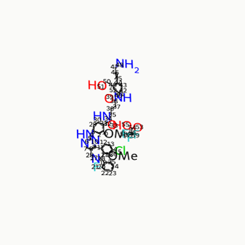 COc1cc(Nc2ncc3c(n2)-c2ccc(Cl)cc2C(c2c(F)cccc2OC)=NC3)ccc1C(=O)NCCCC(=O)Nc1ccc(C#CCN)c(CO)c1.O=C(O)C(F)(F)F